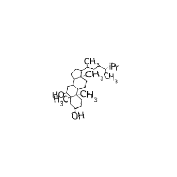 CC(C)[C@H](C)CC[C@H](C)C1CCC2C3CC(O)C4(C)C[C@@H](O)CC[C@]4(C)C3CC[C@@]21C